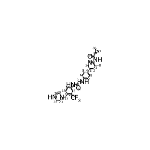 Cc1cc(-c2ccc(NCC(=O)Nc3ccc(CN4CCNCC4)c(C(F)(F)F)c3)cc2)cnc1NC(=O)C1CC1